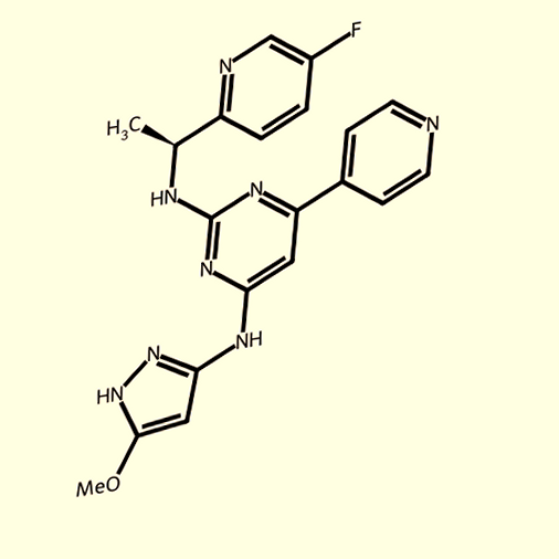 COc1cc(Nc2cc(-c3ccncc3)nc(N[C@@H](C)c3ccc(F)cn3)n2)n[nH]1